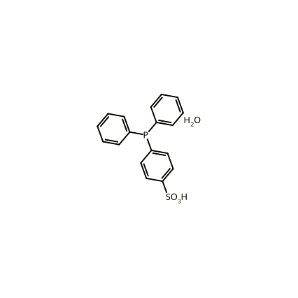 O.O=S(=O)(O)c1ccc(P(c2ccccc2)c2ccccc2)cc1